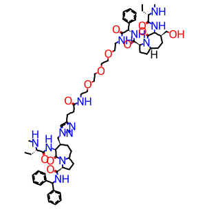 CC[C@H](NC)C(=O)N[C@@H]1C(=O)N2C(CC[C@@H]1Cn1cc(CCC(=O)NCCOCCOCCOCCNC(=O)[C@@H](NC(=O)[C@@H]3CC[C@@H]4CC[C@H](CO)[C@H](NC(=O)[C@H](CC)NC)C(=O)N43)c3ccccc3)nn1)CC[C@H]2C(=O)NC(c1ccccc1)c1ccccc1